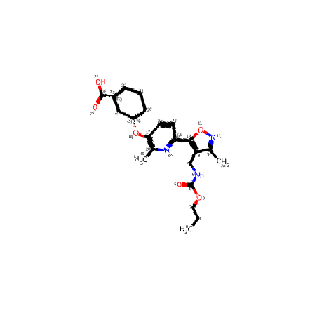 CCCOC(=O)NCc1c(C)noc1-c1ccc(O[C@H]2CCC[C@H](C(=O)O)C2)c(C)n1